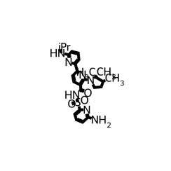 CC(C)Nc1cccc(-c2ccc(C(=O)NS(=O)(=O)c3cccc(N)n3)c(N3CCC(C)C3(C)C)n2)n1